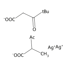 CC(=O)C(C)C(=O)[O-].CC(C)(C)C(=O)CC(=O)[O-].[Ag+].[Ag+]